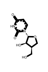 O=c1ccn([C@@H]2OC[C@@H](CO)[C@H]2O)c(=O)[nH]1